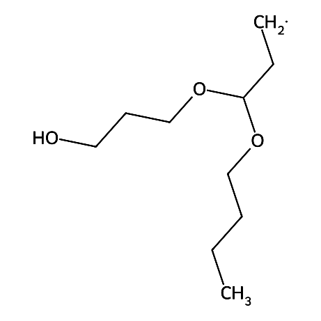 [CH2]CC(OCCCC)OCCCO